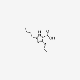 CCCCc1nc(SCC)c(C(=O)O)[nH]1